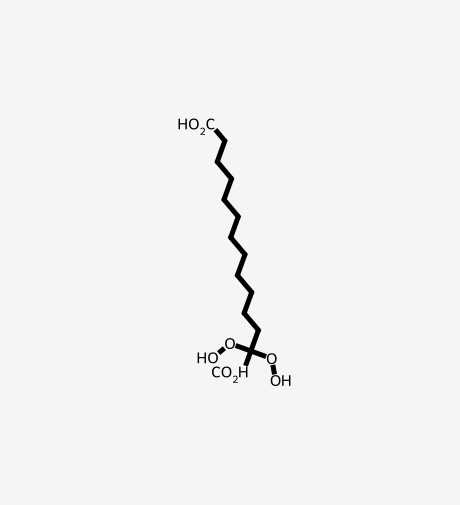 O=C(O)CCCCCCCCCCCC(OO)(OO)C(=O)O